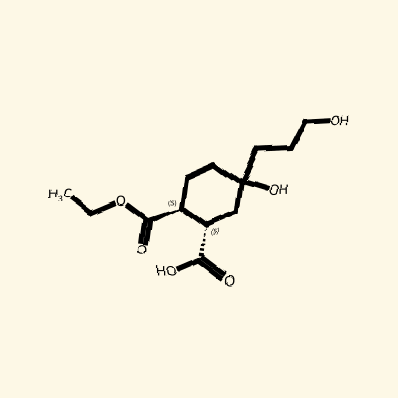 CCOC(=O)[C@H]1CCC(O)(CCCO)C[C@@H]1C(=O)O